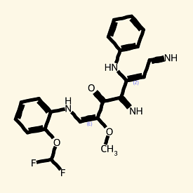 CO/C(=C/Nc1ccccc1OC(F)F)C(=O)C(=N)/C(=C/C=N)Nc1ccccc1